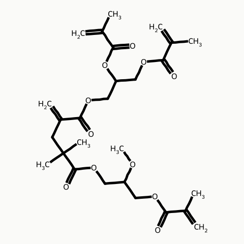 C=C(C)C(=O)OCC(COC(=O)C(C)(C)CC(=C)C(=O)OCC(COC(=O)C(=C)C)OC(=O)C(=C)C)OC